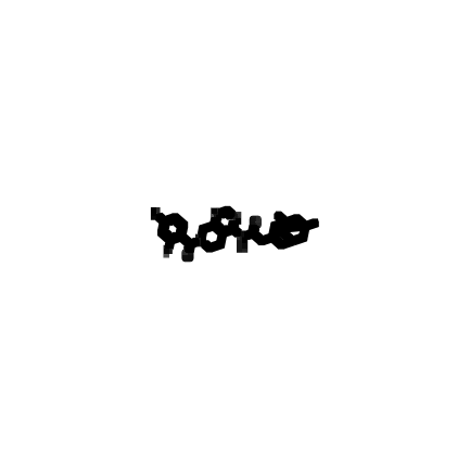 CC12CC3CC(C)(C1)CC(CC(=O)Nc1ncnc4c1CCN(C(=O)c1ccc(F)cc1F)C4)(C3)C2